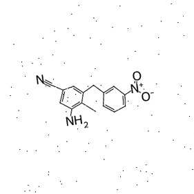 Cc1c(N)cc(C#N)cc1Cc1cccc([N+](=O)[O-])c1